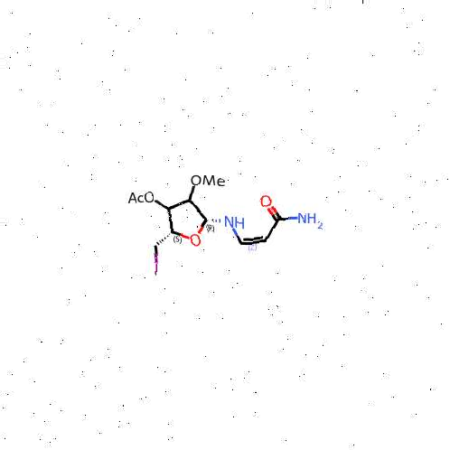 COC1C(OC(C)=O)[C@@H](CI)O[C@H]1N/C=C\C(N)=O